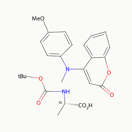 COc1ccc(N(C)c2cc(=O)oc3ccccc23)cc1.C[C@H](NC(=O)OC(C)(C)C)C(=O)O